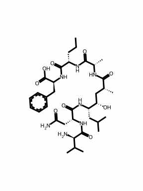 CCC[C@H](NC(=O)[C@H](C)NC(=O)[C@H](C)C[C@H](O)[C@H](CC(C)C)NC(=O)[C@@H](CC(N)=O)NC(=O)[C@H](N)C(C)C)C(=O)N[C@@H](Cc1ccccc1)C(=O)O